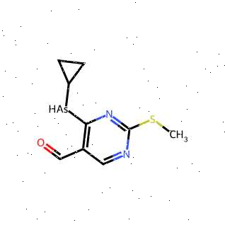 CSc1ncc(C=O)c([AsH]C2CC2)n1